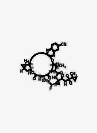 C[C@@H]1[C@@H]2CN(C(=O)[C@H](C(C)(C)C)NC(=O)O[C@@H]3C[C@@H]4C[C@@H]4[C@H]3CCCCCc3nc4ccc(C#N)cc4nc3O2)[C@@H]1C(=O)NC1(C(=O)NS(=O)(=O)C2(C)CC2)C[C@H]1C(F)F